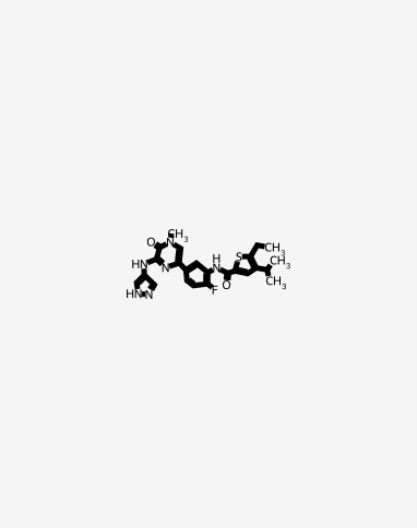 CCc1sc(C(=O)Nc2cc(-c3cn(C)c(=O)c(Nc4cn[nH]c4)n3)ccc2F)cc1C(C)C